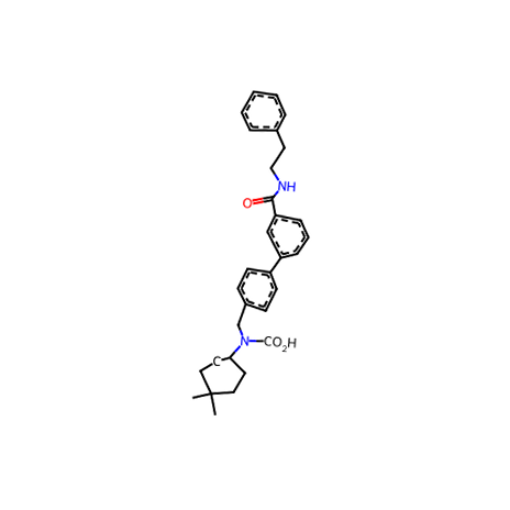 CC1(C)CCC(N(Cc2ccc(-c3cccc(C(=O)NCCc4ccccc4)c3)cc2)C(=O)O)CC1